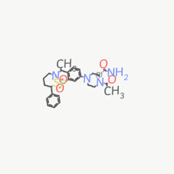 CC(=O)N1CCN(c2ccc(C(C)N3CCCC(c4ccccc4)S3(=O)=O)c(F)c2)C[C@@H]1C(N)=O